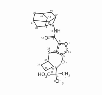 CC(C)(COc1noc(C(=O)NC2C3CC4CC(C3)CC2C4)c1SC1CCC1)C(=O)O